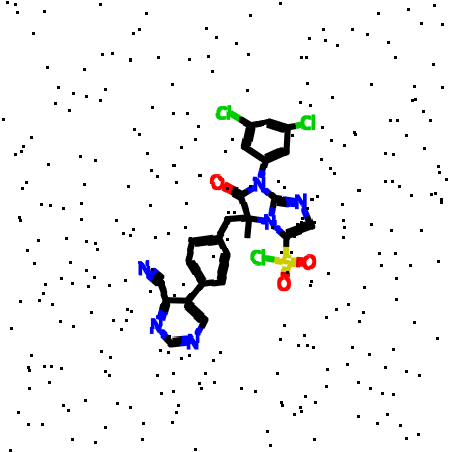 CC1(Cc2ccc(-c3cncnc3C#N)cc2)C(=O)N(c2cc(Cl)cc(Cl)c2)c2ncc(S(=O)(=O)Cl)n21